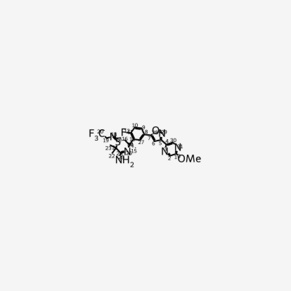 COc1cnc(-c2cc(-c3ccc(F)c([C@]4(C)C[S@@](=NCC(F)(F)F)C(C)(C)C(N)=N4)c3)on2)cn1